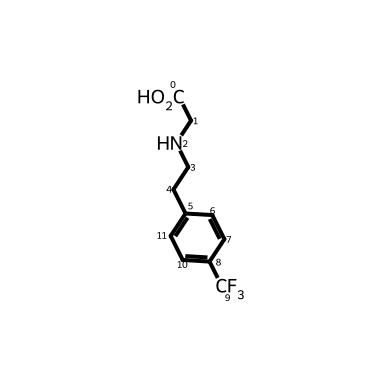 O=C(O)CNCCc1ccc(C(F)(F)F)cc1